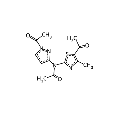 CC(=O)c1sc(N(C(C)=O)c2ccn(C(C)=O)n2)nc1C